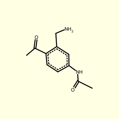 CC(=O)Nc1ccc(C(C)=O)c(CN)c1